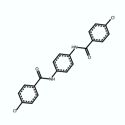 O=C(Nc1ccc(NC(=O)c2ccc(Cl)cc2)cc1)c1ccc(Cl)cc1